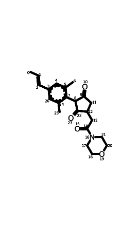 C/C=C/c1cc(C)c(C2C(=O)CC(CC(=O)N3CCOCC3)C2=O)c(C)c1